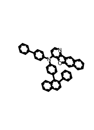 c1ccc(-c2ccc(N(c3ccc(-c4c(-c5ccccc5)ccc5ccccc45)cc3)c3ccnc4c3oc3cc5ccccc5cc34)cc2)cc1